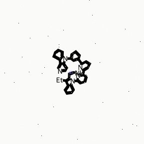 CCc1c(/C=C\N)n(-c2cccc(-c3cccc(-c4cccc(-n5c6ccccc6c6cnccc65)c4)n3)n2)c2ccccc12